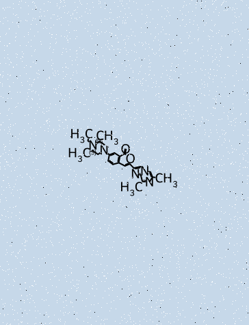 CCN1[C@H](C)CN(c2ccc3cc(-c4cn5cc(C)nc(C)c5n4)oc(=O)c3c2)C[C@@H]1C